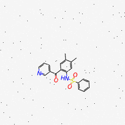 Cc1cc(NS(=O)(=O)c2ccccc2)c(C(=O)c2cccnc2)cc1C